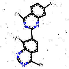 CC(C)c1nc(-c2ccc3c(C(C)C)ncnc3c2C(F)(F)F)nc2cc(C(F)(F)F)ccc12